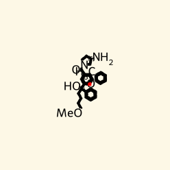 COCCCC[C@](O)(c1cccc(C(=O)N2CC[C@H](N)C2)c1)c1ccccc1Oc1ccccc1C